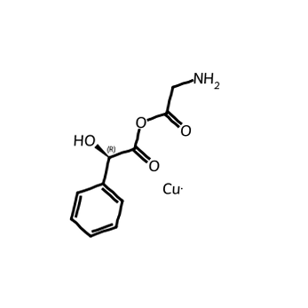 NCC(=O)OC(=O)[C@H](O)c1ccccc1.[Cu]